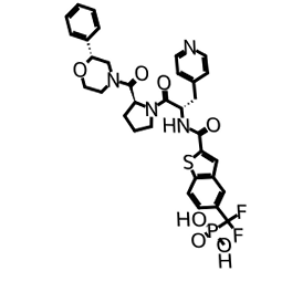 O=C(N[C@@H](Cc1ccncc1)C(=O)N1CCC[C@H]1C(=O)N1CCO[C@H](c2ccccc2)C1)c1cc2cc(C(F)(F)P(=O)(O)O)ccc2s1